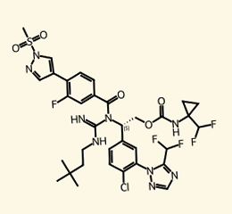 CC(C)(C)CCNC(=N)N(C(=O)c1ccc(-c2cnn(S(C)(=O)=O)c2)c(F)c1)[C@H](COC(=O)NC1(C(F)F)CC1)c1ccc(Cl)c(-n2ncnc2C(F)F)c1